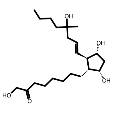 CCCCC(C)(O)CC=C[C@@H]1[C@@H](CCCCCCC(=O)CO)[C@@H](O)C[C@H]1O